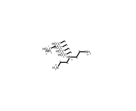 CC(=O)O.CC(=O)O.CC(=O)O.CC(=O)O.CC(=O)O.NCCNCCN.[AlH3]